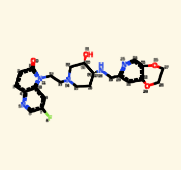 O=c1ccc2ncc(F)cc2n1CCN1CC[C@@H](NCc2cc3c(cn2)OCCO3)[C@@H](O)C1